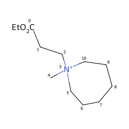 CCOC(=O)CC[N+]1(C)CCCCCC1